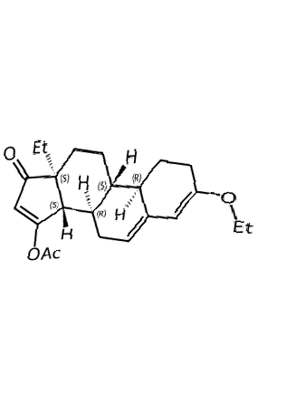 CCOC1=CC2=CC[C@@H]3[C@H](CC[C@]4(CC)C(=O)C=C(OC(C)=O)[C@@H]34)[C@H]2CC1